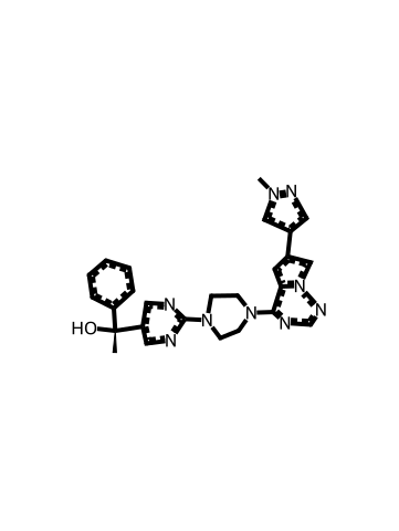 Cn1cc(-c2cc3c(N4CCN(c5ncc([C@](C)(O)c6ccccc6)cn5)CC4)ncnn3c2)cn1